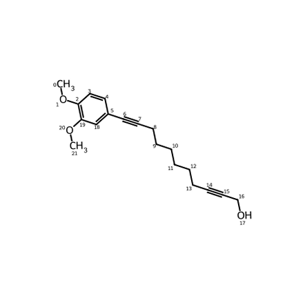 COc1ccc(C#CCCCCCCC#CCO)cc1OC